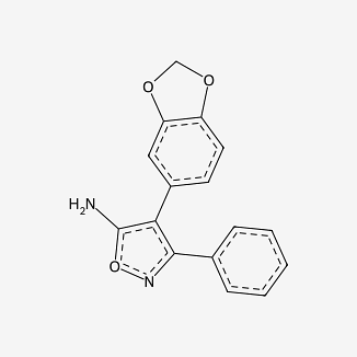 Nc1onc(-c2ccccc2)c1-c1ccc2c(c1)OCO2